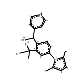 Cc1ccc(C)n1-c1ccc(C(O)c2ccncc2)c(C(F)(F)F)c1